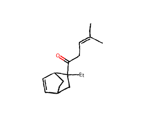 CCC1(C(=O)CC=C(C)C)CC2C=CC1C2